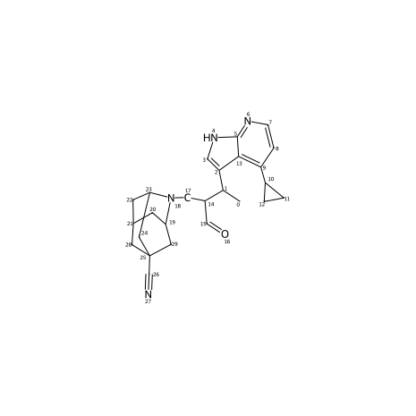 CC(c1c[nH]c2nccc(C3CC3)c12)C(C=O)CN1C2CC3CC1CC(C#N)(C3)C2